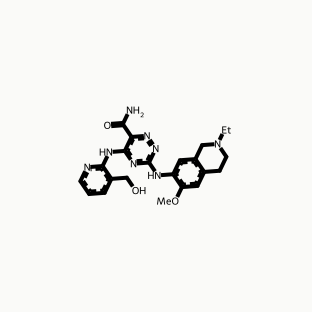 CCN1CCc2cc(OC)c(Nc3nnc(C(N)=O)c(Nc4ncccc4CO)n3)cc2C1